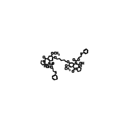 COc1cc2c(cc1OCCCCCOc1cc3c(cc1OC)C(=O)N1CCC[C@H]1[C@H](O)N3C(=O)OCCSc1ccccc1)N(C(=O)OCCSc1ccccc1)[C@@H](O)[C@@H]1CCCN1C2=O